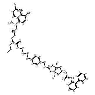 CCCN(CCNC[C@H](O)c1ccc(O)c2[nH]c(=O)ccc12)C(=O)CCOCCc1ccc(CCN2C[C@H]3C[C@H](OC(=O)Nc4ccccc4-c4ccccc4)C[C@H]3C2)cc1